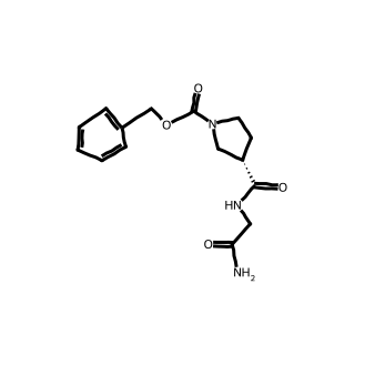 NC(=O)CNC(=O)[C@H]1CCN(C(=O)OCc2ccccc2)C1